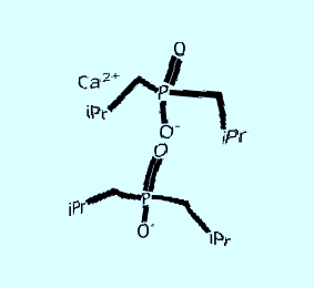 CC(C)CP(=O)([O-])CC(C)C.CC(C)CP(=O)([O-])CC(C)C.[Ca+2]